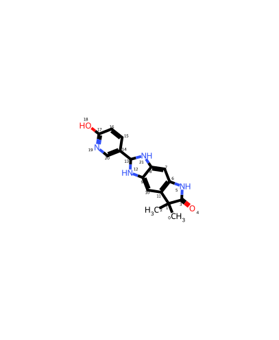 CC1(C)C(=O)Nc2cc3c(cc21)NC(c1ccc(O)nc1)N3